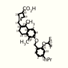 CCCc1ccc(COc2ccc3c(c2C)CCC(CN2CC(C(=O)O)C2)=C3C)c(OC(F)F)c1